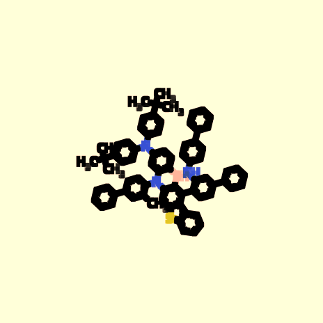 Cc1cc(-c2ccccc2)ccc1N1c2cc(N(c3ccc(C(C)(C)C)cc3)c3ccc(C(C)(C)C)cc3)ccc2Bc2c1cc1sc3ccccc3c1c2-c1ccc(-c2ccccc2)cc1Nc1ccc(-c2ccccc2)cc1